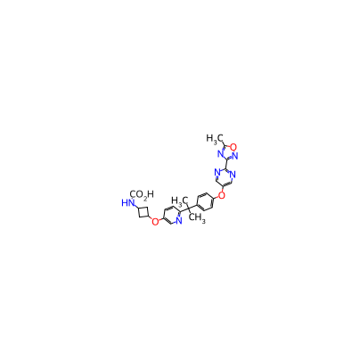 Cc1nc(-c2ncc(Oc3ccc(C(C)(C)c4ccc(OC5CC(NC(=O)O)C5)cn4)cc3)cn2)no1